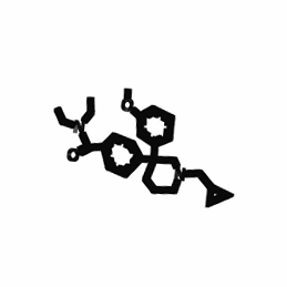 CCN(CC)C(=O)c1ccc(C2(c3cccc(OC)c3)CCCN(CC3CC3)C2)cc1